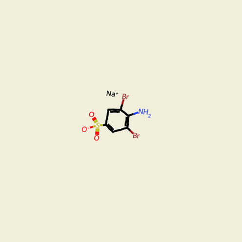 Nc1c(Br)cc(S(=O)(=O)[O-])cc1Br.[Na+]